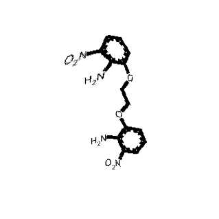 Nc1c(OCCOc2cccc([N+](=O)[O-])c2N)cccc1[N+](=O)[O-]